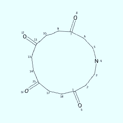 O=C1CC[N]CCC(=O)CCC(=O)CCC(=O)CC1